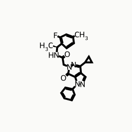 Cc1ccc([C@H](C)NC(=O)Cn2nc(C3CC3)c3cnn(-c4ccccc4)c3c2=O)c(F)c1